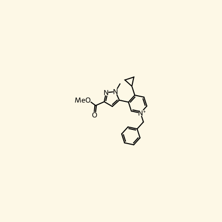 COC(=O)c1cc(-c2c[n+](Cc3ccccc3)ccc2C2CC2)n(C)n1